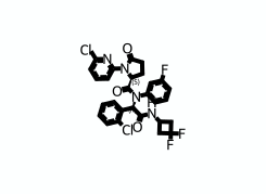 O=C(NC1CC(F)(F)C1)[C@@H](c1ccccc1Cl)N(C(=O)[C@@H]1CCC(=O)N1c1cccc(Cl)n1)c1cccc(F)c1